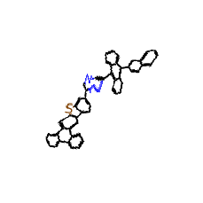 c1ccc2cc(-c3c4ccccc4c(-c4cncc(-c5ccc6c(c5)sc5cc7c8ccccc8c8ccccc8c7cc56)n4)c4ccccc34)ccc2c1